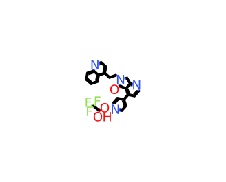 O=C(O)C(F)(F)F.O=C1c2c(-c3ccncc3)ccnc2CN1CCc1ccnc2ccccc12